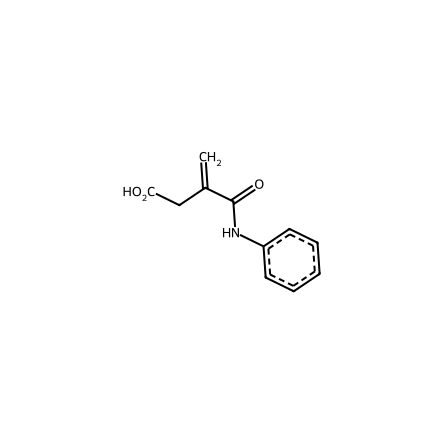 C=C(CC(=O)O)C(=O)Nc1ccccc1